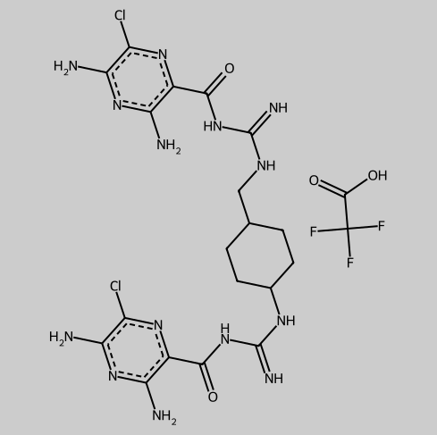 N=C(NCC1CCC(NC(=N)NC(=O)c2nc(Cl)c(N)nc2N)CC1)NC(=O)c1nc(Cl)c(N)nc1N.O=C(O)C(F)(F)F